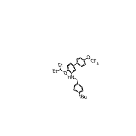 CCC(CC)Oc1ccc(-c2ccc(OC(F)(F)F)cc2)cc1NCc1ccc(C(C)(C)C)cc1